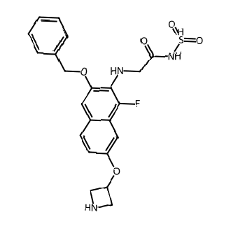 O=C(CNc1c(OCc2ccccc2)cc2ccc(OC3CNC3)cc2c1F)N[SH](=O)=O